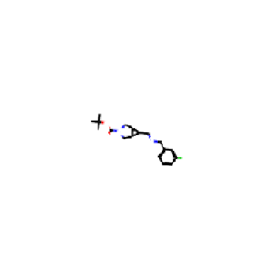 CC(C)(C)OC(=O)N1CC2C(CNCc3cccc(Cl)c3)C2C1